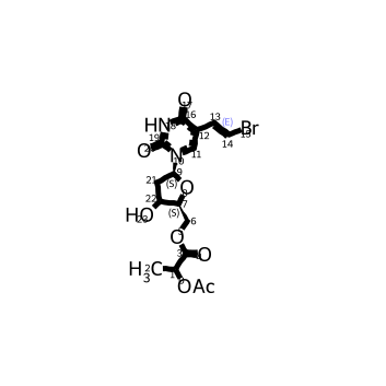 CC(=O)OC(C)C(=O)OC[C@@H]1O[C@H](n2cc(/C=C/Br)c(=O)[nH]c2=O)CC1O